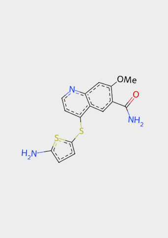 COc1cc2nccc(Sc3ccc(N)s3)c2cc1C(N)=O